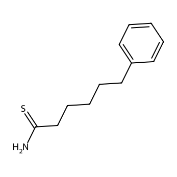 NC(=S)CCCCCc1ccccc1